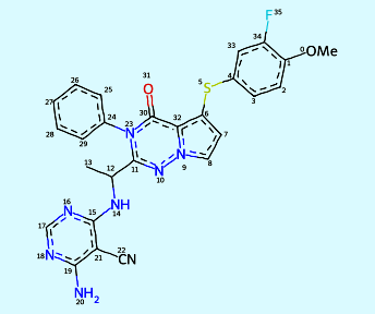 COc1ccc(Sc2ccn3nc(C(C)Nc4ncnc(N)c4C#N)n(-c4ccccc4)c(=O)c23)cc1F